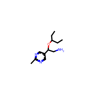 CCC(CC)OC(CN)c1cnc(C)nc1